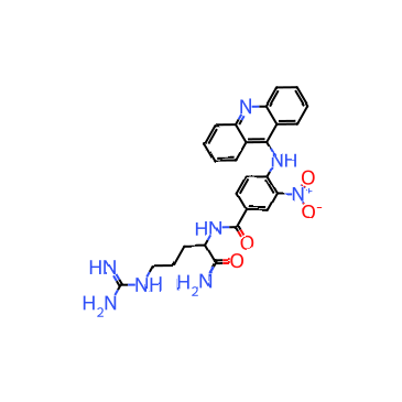 N=C(N)NCCCC(NC(=O)c1ccc(Nc2c3ccccc3nc3ccccc23)c([N+](=O)[O-])c1)C(N)=O